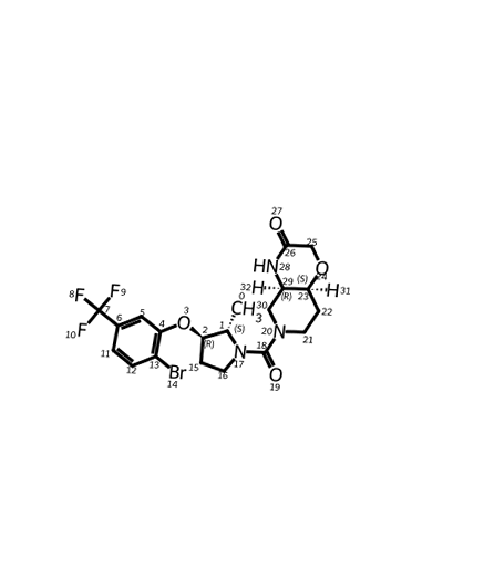 C[C@H]1[C@H](Oc2cc(C(F)(F)F)ccc2Br)CCN1C(=O)N1CC[C@@H]2OCC(=O)N[C@@H]2C1